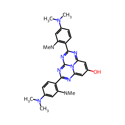 CNc1cc(N(C)C)ccc1C1=NC2=CC(O)=CC3=NC(c4ccc(N(C)C)cc4NC)=NC(=N1)N23